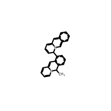 CC1c2cccc(C3C=CC=C4C=c5ccccc5=CN43)c2C=C2C=CC=CN21